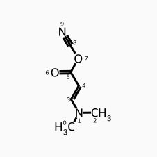 CN(C)C=CC(=O)OC#N